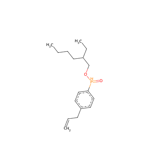 C=CCc1ccc([PH](=O)OCC(CC)CCCC)cc1